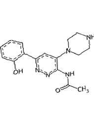 CC(=O)Nc1nnc(-c2ccccc2O)cc1N1CCNCC1